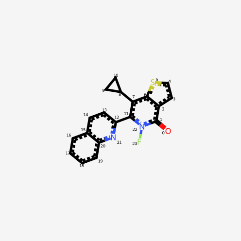 O=c1c2ccsc2c(C2CC2)c(-c2ccc3ccccc3n2)n1F